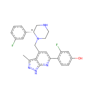 Cc1n[nH]c2nc(-c3ccc(O)cc3F)cc(CN3CCNC[C@H]3c3cccc(F)c3)c12